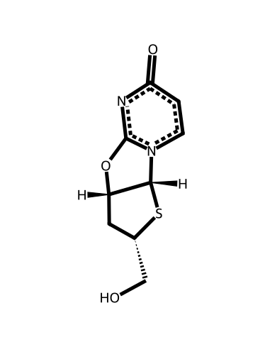 O=c1ccn2c(n1)O[C@H]1C[C@@H](CO)S[C@H]12